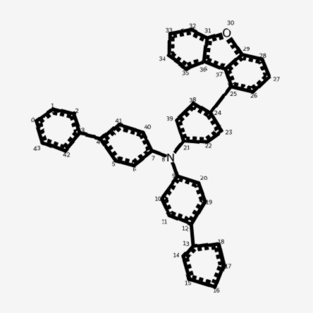 c1ccc(-c2ccc(N(c3ccc(-c4ccccc4)cc3)c3ccc(-c4cccc5oc6ccccc6c45)cc3)cc2)cc1